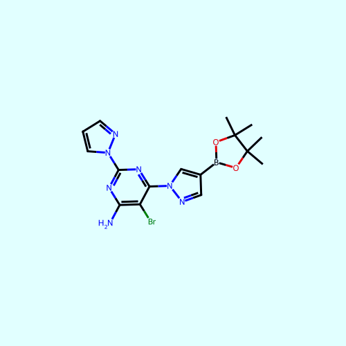 CC1(C)OB(c2cnn(-c3nc(-n4cccn4)nc(N)c3Br)c2)OC1(C)C